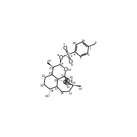 Cc1ccc(S(=O)(=O)O[C@H]2O[C@@H]3O[C@@]4(C)CCC5[C@H](C)CCC([C@H]2C)[C@]53OO4)cc1